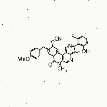 COc1ccc(CN2CC3C(=O)N(C)c4cnc5c(F)c(-c6c(O)cccc6F)ncc5c4N3CC2CC#N)cc1